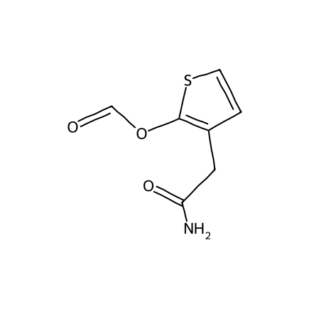 NC(=O)Cc1ccsc1OC=O